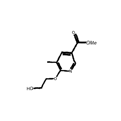 COC(=O)c1cnc(OCCO)c(C)c1